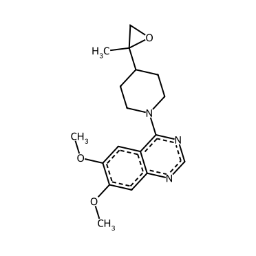 COc1cc2ncnc(N3CCC(C4(C)CO4)CC3)c2cc1OC